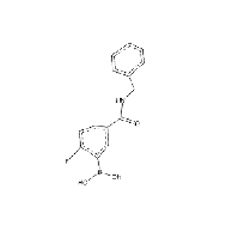 O=C(NCc1ccccc1)c1ccc(F)c(B(O)O)c1